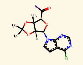 CC1(C)O[C@H]2[C@H](n3ccc4c(Cl)ncnc43)O[C@H](C(=O)I)[C@@]2(C)O1